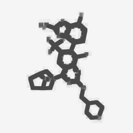 Nc1nc2c(-c3c(C(F)(F)F)cc4c(N5CC6CCC(C5)N6)nc(OCC5CCOCC5)nc4c3F)ccc(F)c2s1